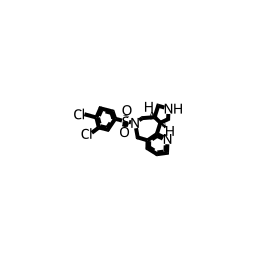 O=S(=O)(c1ccc(Cl)c(Cl)c1)N1Cc2cccnc2[C@H]2CNC[C@@H]2C1